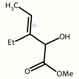 C/C=C(\CC)C(O)C(=O)OC